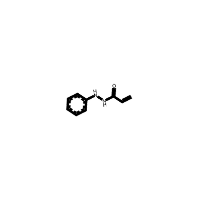 C=CC(=O)NNc1ccccc1